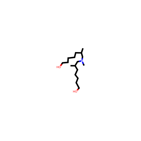 CC(CCCCCO)CN(C)CC(C)CCCCCO